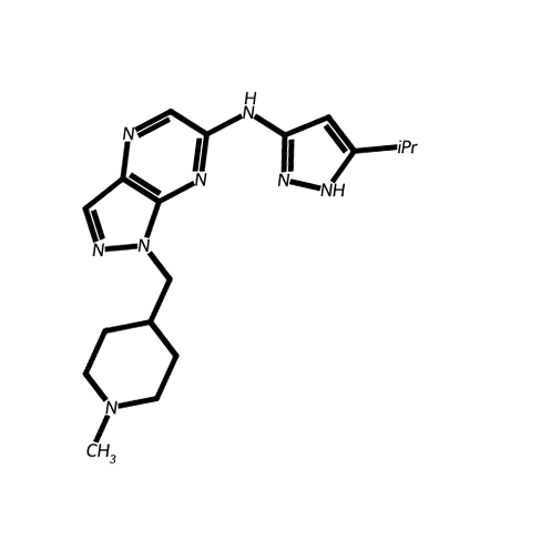 CC(C)c1cc(Nc2cnc3cnn(CC4CCN(C)CC4)c3n2)n[nH]1